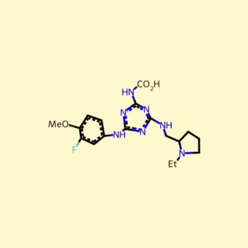 CCN1CCCC1CNc1nc(NC(=O)O)nc(Nc2ccc(OC)c(F)c2)n1